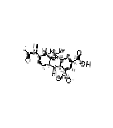 CC(=O)Nc1ccc(Nc2c([N+](=O)[O-])cc(C(=O)O)cc2S(N)(=O)=O)cc1